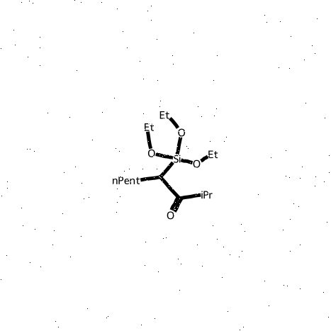 CCCCCC(C(=O)C(C)C)[Si](OCC)(OCC)OCC